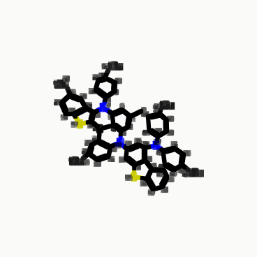 Cc1cc2c3c(c1)N(c1ccc(C(C)(C)C)cc1)c1c(sc4ccc(C(C)(C)C)cc14)B3c1cc(C(C)(C)C)ccc1N2c1cc(N(c2ccc(C(C)(C)C)cc2)c2ccc(C(C)(C)C)cc2)c2c(c1)sc1ccccc12